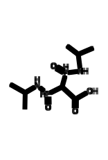 CC(C)N[PH](=O)C(C(=O)O)[PH](=O)NC(C)C